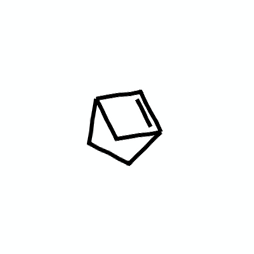 C1=C2CCC1C2